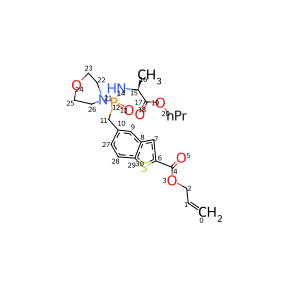 C=CCOC(=O)c1cc2cc(CP(=O)(N[C@@H](C)C(=O)OCCC)N3CCOCC3)ccc2s1